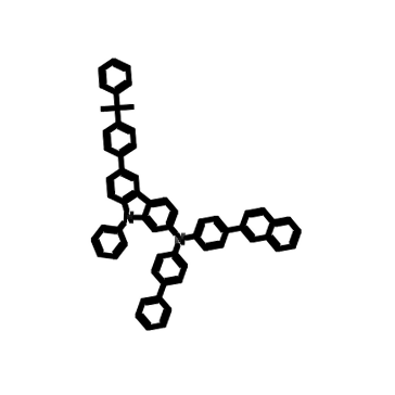 CC(C)(c1ccccc1)c1ccc(-c2ccc3c(c2)c2ccc(N(c4ccc(-c5ccccc5)cc4)c4ccc(-c5ccc6ccccc6c5)cc4)cc2n3-c2ccccc2)cc1